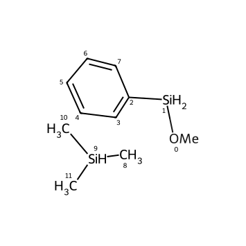 CO[SiH2]c1ccccc1.C[SiH](C)C